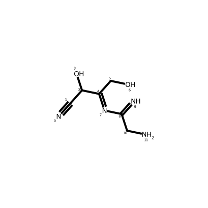 N#CC(O)C(CO)=NC(=N)CN